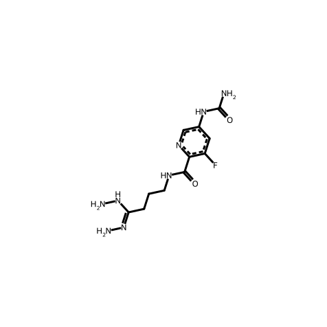 N/N=C(/CCCNC(=O)c1ncc(NC(N)=O)cc1F)NN